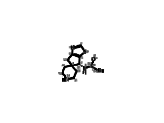 CC(C)(C)[S@+]([O-])N[C@H]1c2scnc2CC12CCNCC2